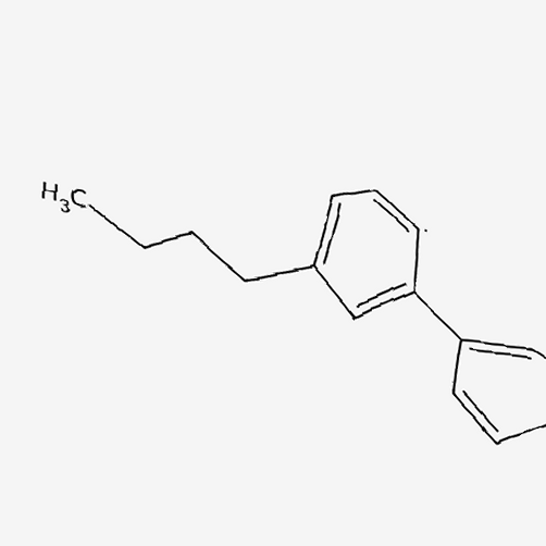 CCCCc1cc[c]c(-c2ccncc2)c1